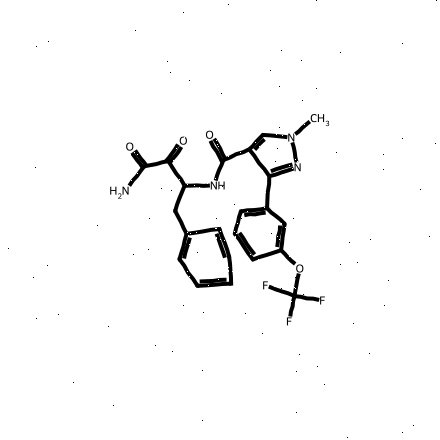 Cn1cc(C(=O)NC(Cc2ccccc2)C(=O)C(N)=O)c(-c2cccc(OC(F)(F)F)c2)n1